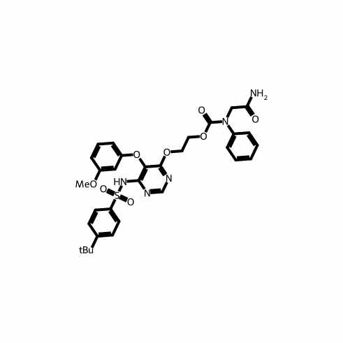 COc1cccc(Oc2c(NS(=O)(=O)c3ccc(C(C)(C)C)cc3)ncnc2OCCOC(=O)N(CC(N)=O)c2ccccc2)c1